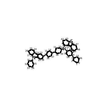 c1ccc(-c2ccc(N(c3ccc(-c4ccc(-c5ccc6c(c5)c5ccccc5n6-c5ccccc5)cc4)cc3)c3cccc4sc5ccccc5c34)cc2)cc1